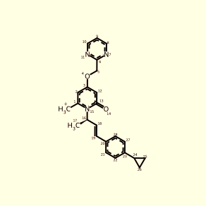 Cc1cc(OCc2ncccn2)cc(=O)n1[C@H](C)/C=C/c1ccc(C2CC2)cc1